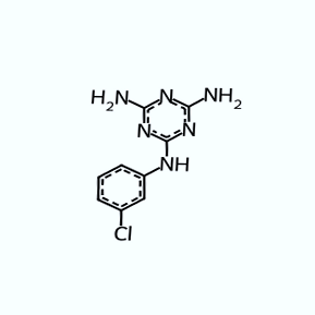 Nc1nc(N)nc(Nc2cccc(Cl)c2)n1